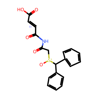 O=C(O)/C=C/C(=O)NC(=O)C[S+]([O-])C(c1ccccc1)c1ccccc1